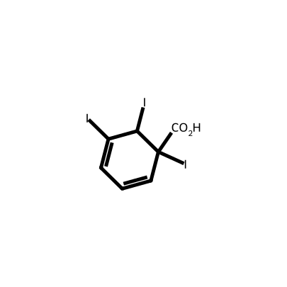 O=C(O)C1(I)C=CC=C(I)C1I